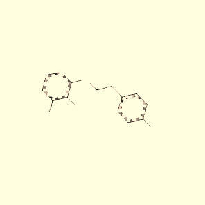 Nc1ccnc(OCCc2ccc(C(F)(F)F)cc2)c1Br